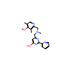 COc1c(C)cnc(CN(C)Cc2cc(O)nc(-c3ccccn3)n2)c1C